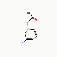 CC(C)(C)C(=O)NC1C=CC=C(N)C1